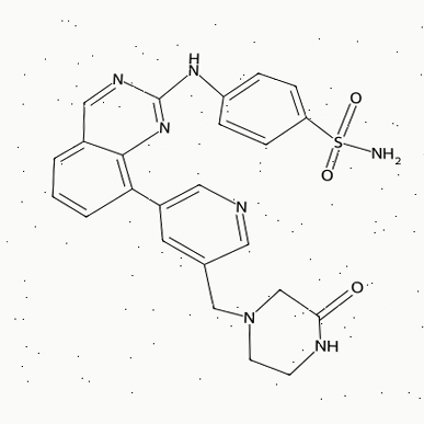 NS(=O)(=O)c1ccc(Nc2ncc3cccc(-c4cncc(CN5CCNC(=O)C5)c4)c3n2)cc1